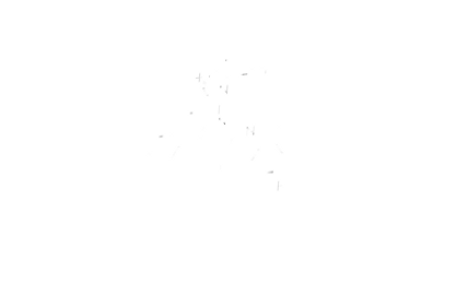 CC1([C@H](NC(=O)c2cc3ccccc3cc2NC(=O)Nc2c(Cl)cc(F)cc2Cl)C(=O)O)CCCCC1